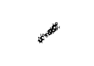 Cc1cccnc1CCNC(=O)C[C@H]1CC[C@H]2[C@@H]3CC[C@H]4NC(=O)C=C[C@]4(C)[C@H]3CC[C@]12C